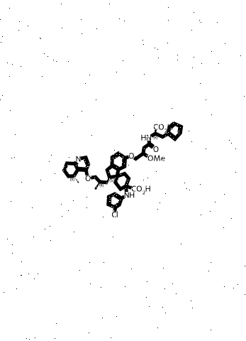 COC(COc1ccc2c(c1)C1(CCC(Nc3cccc(Cl)c3)(C(=O)O)CC1)[C@@H](C[C@@H](C)COc1ccnc3c1[C@H](C)CCC3)C2)CC(=O)N[C@H](Cc1ccccc1)C(=O)O